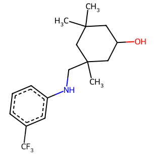 CC1(C)CC(O)CC(C)(CNc2cccc(C(F)(F)F)c2)C1